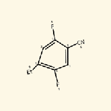 CCc1cc(F)c(C#N)cc1F